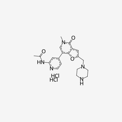 CC(=O)Nc1cc(-c2cn(C)c(=O)c3cc(CN4CCNCC4)oc23)ccn1.Cl.Cl